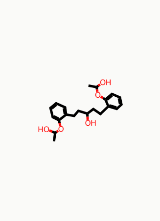 CC(O)Oc1ccccc1CCC(O)CCc1ccccc1OC(C)O